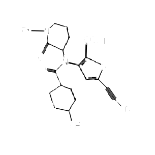 CCN1CCCC(N(C(=O)C2CCC(C)CC2)c2cc(C#CC(C)(C)C)sc2C(=O)O)C1=O